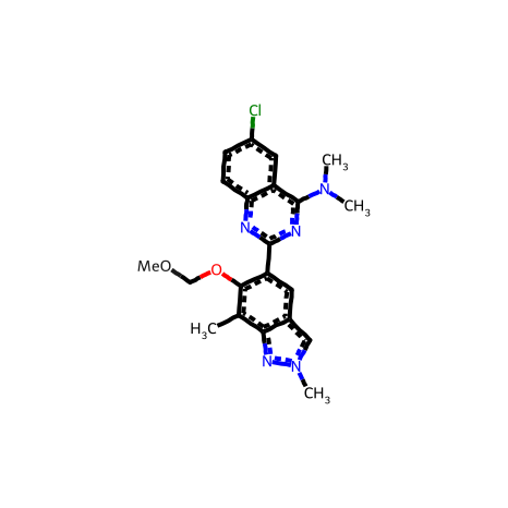 COCOc1c(-c2nc(N(C)C)c3cc(Cl)ccc3n2)cc2cn(C)nc2c1C